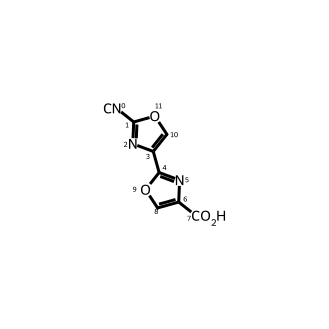 [C-]#[N+]c1nc(-c2nc(C(=O)O)co2)co1